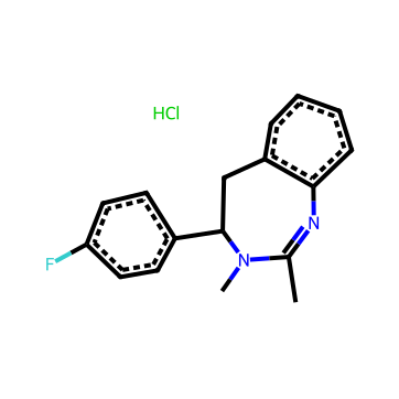 CC1=Nc2ccccc2CC(c2ccc(F)cc2)N1C.Cl